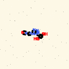 Oc1ccc(O)c(Cn2nnc3ncc(N4CC[C@@H](N5CCOCC5)C4)nc32)c1